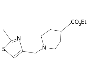 CCOC(=O)C1CCN(Cc2csc(C)n2)CC1